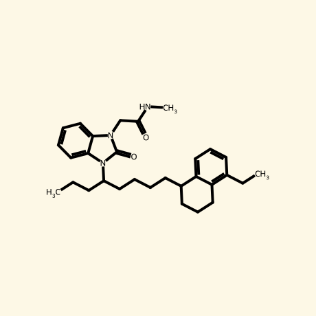 CCCC(CCCCC1CCCc2c(CC)cccc21)n1c(=O)n(CC(=O)NC)c2ccccc21